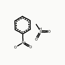 C[SH](=O)=O.O=[N+]([O-])c1ccccc1